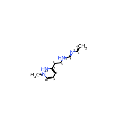 C=C/N=C/NCCC1=CC=CN(C)N1